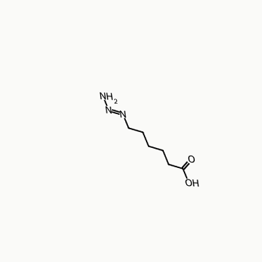 NN=NCCCCCC(=O)O